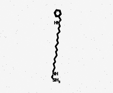 [SiH3]CNCCCCCCCCCCCCCCCCNCc1ccccc1